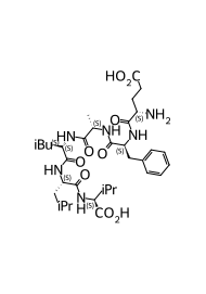 CC[C@H](C)[C@H](NC(=O)[C@H](C)NC(=O)[C@H](Cc1ccccc1)NC(=O)[C@@H](N)CCC(=O)O)C(=O)N[C@@H](CC(C)C)C(=O)N[C@H](C(=O)O)C(C)C